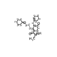 Cn1[nH]c2cc(=O)n(Cc3ccccn3)c(CCCOc3ccccc3)c2c1=O